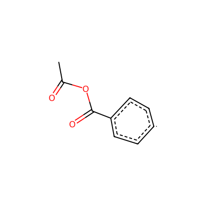 CC(=O)OC(=O)c1cc[c]cc1